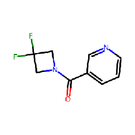 O=C(c1cccnc1)N1CC(F)(F)C1